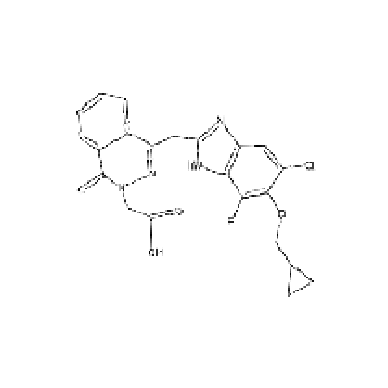 O=C(O)Cn1nc(Cc2nc3cc(Cl)c(OCC4CC4)c(F)c3[nH]2)c2ccccc2c1=O